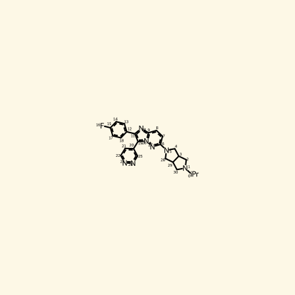 CC(C)N1CC2CN(c3ccc4nc(-c5ccc(F)cc5)c(-c5ccnnc5)n4n3)CC2C1